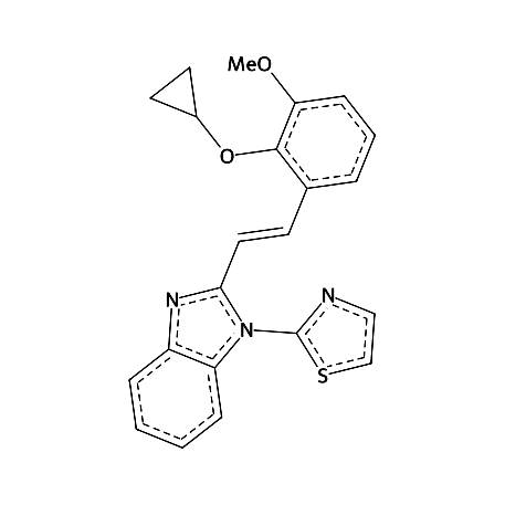 COc1cccc(C=Cc2nc3ccccc3n2-c2nccs2)c1OC1CC1